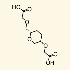 O=C(O)COC[C@@H]1CC[C@@H](OCC(=O)O)CO1